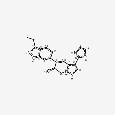 CCc1noc2cc(C3=Nc4c(-c5ncco5)cnn4CC3=O)ccc12